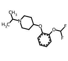 CC(C)N1CCC(Oc2ccccc2OC(F)F)CC1